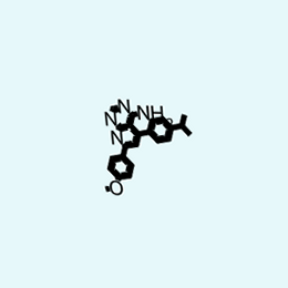 COc1ccc(-c2cc(-c3ccc(C(C)C)cc3)c3c(N)ncnc3n2)cc1